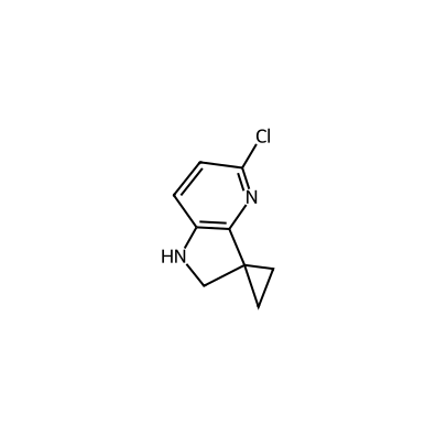 Clc1ccc2c(n1)C1(CC1)CN2